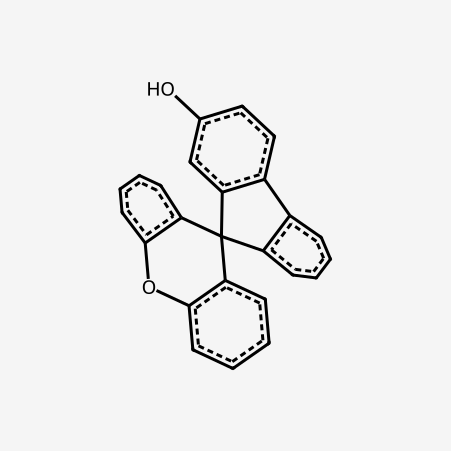 Oc1ccc2c(c1)C1(c3ccccc3Oc3ccccc31)c1ccccc1-2